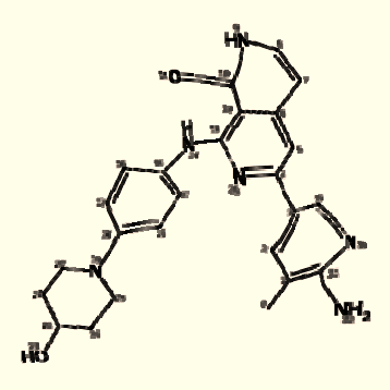 Cc1cc(-c2cc3cc[nH]c(=O)c3c(Nc3ccc(N4CCC(O)CC4)cc3)n2)cnc1N